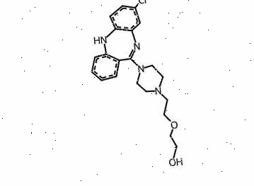 OCCOCCN1CCN(C2=Nc3cc(Cl)ccc3Nc3ccccc32)CC1